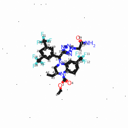 CCOC(=O)N1c2ccc(C(F)(F)F)cc2N(C(c2cc(C(F)(F)F)cc(C(F)(F)F)c2)c2nnn(CC(N)=O)n2)CC1CC